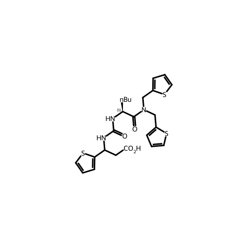 CCCC[C@H](NC(=O)NC(CC(=O)O)c1cccs1)C(=O)N(Cc1cccs1)Cc1cccs1